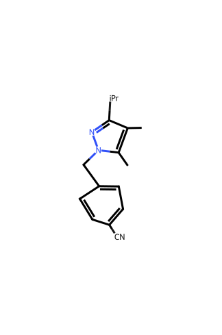 Cc1c(C(C)C)nn(Cc2ccc(C#N)cc2)c1C